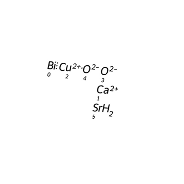 [Bi].[Ca+2].[Cu+2].[O-2].[O-2].[SrH2]